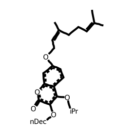 CCCCCCCCCCOc1c(OC(C)C)c2ccc(OCC=C(C)CCC=C(C)C)cc2oc1=O